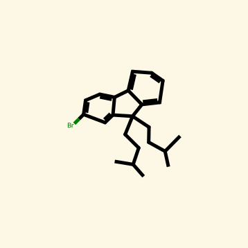 CC(C)CCC1(CCC(C)C)c2ccccc2-c2ccc(Br)cc21